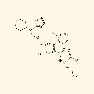 CSCC[C@H](NC(=O)c1ccc(COCC(c2cncs2)C2CCCCC2)cc1-c1ccccc1C)C(=O)[O-].[Li+]